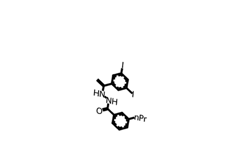 C=C(NNC(=O)c1cccc(CCC)c1)c1cc(I)cc(I)c1